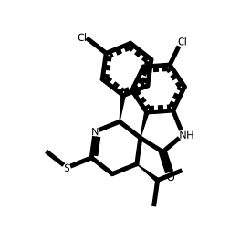 CSC1=N[C@@H](c2cccc(Cl)c2)[C@]2(C(=O)Nc3cc(Cl)ccc32)[C@@H](C(C)C)C1